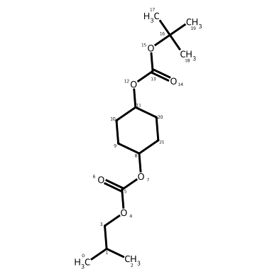 CC(C)COC(=O)OC1CCC(OC(=O)OC(C)(C)C)CC1